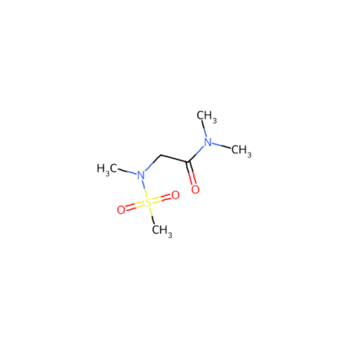 CN(C)C(=O)CN(C)S(C)(=O)=O